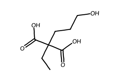 CCC(CCCO)(C(=O)O)C(=O)O